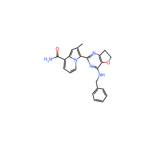 Cc1cc2c(C(N)=O)cccn2c1-c1nc2c(c(NCc3ccccc3)n1)OCC2